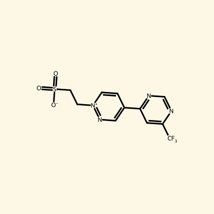 O=S(=O)([O-])CC[n+]1ccc(-c2cc(C(F)(F)F)ncn2)cn1